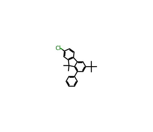 CC(C)(C)c1cc(-c2ccccc2)c2c(c1)-c1ccc(Cl)cc1C2(C)C